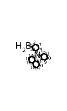 Bc1cccc(N(c2ccccc2)c2cccc3ccccc23)c1